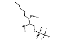 CCCCCC(PC)C(COS(=O)(=O)C(F)(F)F)PC